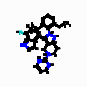 CCc1cccc(CC)c1-n1nc2c(c1-c1ccc(F)c3[nH]ccc13)CN(c1ncccn1)CC2